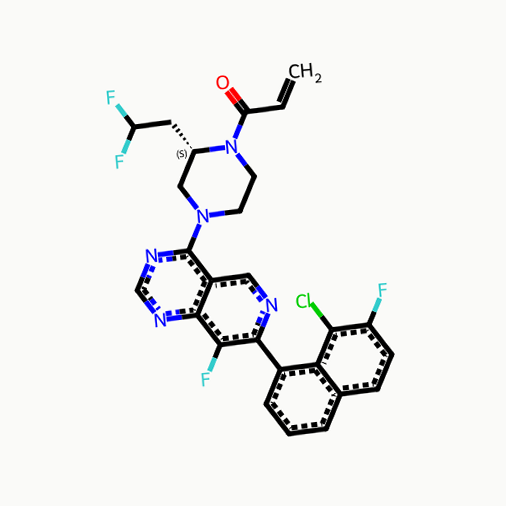 C=CC(=O)N1CCN(c2ncnc3c(F)c(-c4cccc5ccc(F)c(Cl)c45)ncc23)C[C@@H]1CC(F)F